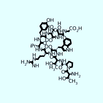 CC(C)[C@H](NC(=O)[C@H](CCCNC(=N)N)NC(=O)[C@H](Cc1c[nH]c2ccccc12)NC(=O)[C@@H](NC(=O)[C@@H]1CCCN1C(=O)[C@@H](N)[C@@H](C)O)[C@@H](C)O)C(=O)N[C@@H](Cc1ccc(O)cc1)C(=O)N[C@@H](CO)C(=O)N[C@H](C(=O)NCC(=O)O)[C@@H](C)O